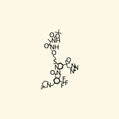 CC(NC(=O)OC(C)(C)C)C(=O)NCOCCSc1cc(C2(Cc3nncn3C)COC2)cc(N2Cc3c(cc(CN4CCC[C@H](C)C4)cc3C(F)(F)F)C2=O)n1